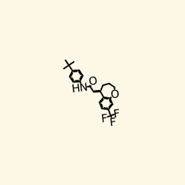 CC(C)(C)c1ccc(NC(=O)/C=C2\CCCOc3cc(C(F)(F)F)ccc32)cc1